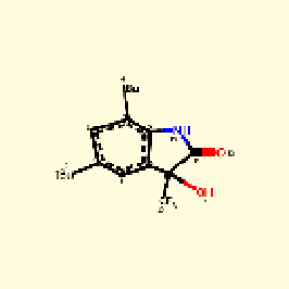 CC(C)(C)c1cc(C(C)(C)C)c2c(c1)C(O)(C(F)(F)F)C(=O)N2